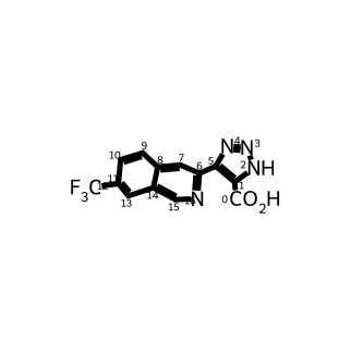 O=C(O)c1[nH]nnc1-c1cc2ccc(C(F)(F)F)cc2cn1